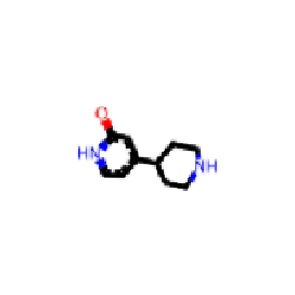 O=c1cc(C2CCNCC2)cc[nH]1